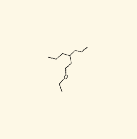 CCCC(CCC)CCOCC